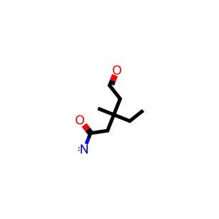 CCC(C)(CC=O)CC([N])=O